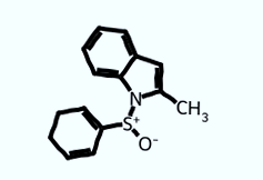 Cc1cc2ccccc2n1[S+]([O-])C1=CCCC=C1